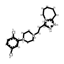 Clc1ccc(Cl)c(N2CCN(CCc3nnc4n3CCCCC4)CC2)c1